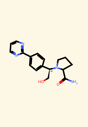 NC(=O)C1CCCN1[C@@H](CO)c1ccc(-c2ncccn2)cc1